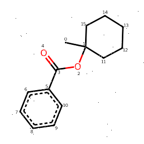 CC1(OC(=O)c2cc[c]cc2)CCCCC1